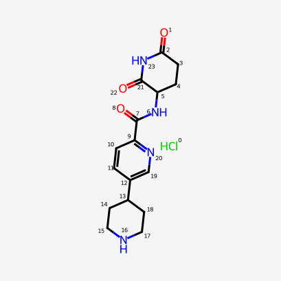 Cl.O=C1CCC(NC(=O)c2ccc(C3CCNCC3)cn2)C(=O)N1